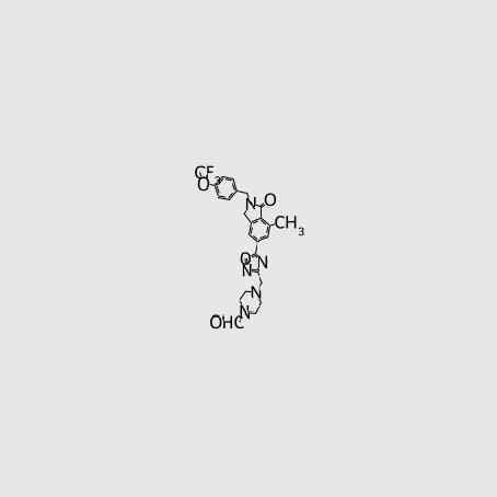 Cc1cc(-c2nc(CN3CCN(C=O)CC3)no2)cc2c1C(=O)N(Cc1ccc(OC(F)(F)F)cc1)C2